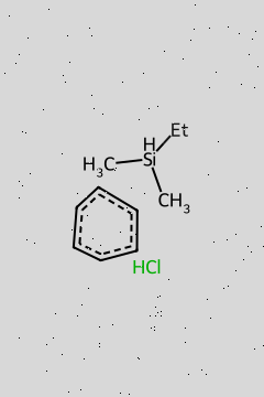 CC[SiH](C)C.Cl.c1ccccc1